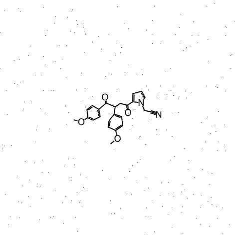 COc1ccc(C(=O)C(CC(=O)c2cccn2CC#N)c2ccc(OC)cc2)cc1